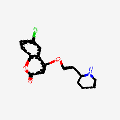 O=c1cc(OCCC2CCCCN2)c2cc(Cl)ccc2o1